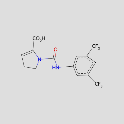 O=C(O)C1=CCCN1C(=O)Nc1cc(C(F)(F)F)cc(C(F)(F)F)c1